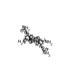 NC[C@@H]1C/C(=N\OCC(N)=O)[C@@H]2CN1C(=O)N2OS(=O)(=O)ON1C(=O)N2C[C@H]1/C(=N/OCC(N)=O)C[C@H]2CN